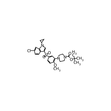 COc1ccc(S(=O)(=O)c2cn(C3CC3)c3cc(Cl)ccc23)cc1N1CCN(C(=O)OC(C)(C)C)CC1